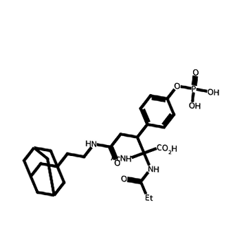 CCC(=O)NC(NC(C)=O)(C(=O)O)C(CC(=O)NCCC12CC3CC(CC(C3)C1)C2)c1ccc(OP(=O)(O)O)cc1